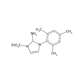 CCOC(=O)N1C=CN(c2c(C)cc(C)cc2C)C1N